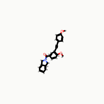 COc1ccc(C#Cc2cc(C(=O)N3Cc4ccccc4C3)ccc2OC)cc1